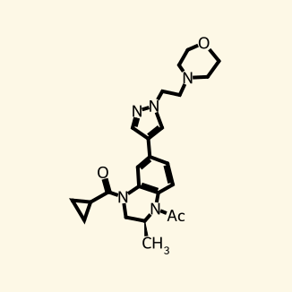 CC(=O)N1c2ccc(-c3cnn(CCN4CCOCC4)c3)cc2N(C(=O)C2CC2)C[C@@H]1C